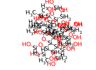 CO[Si]([SiH3])(O[Si]([Si](O[SiH2]O)([SiH2]O)[SiH2]O)([Si](O[SiH2]O)([SiH2]O)[SiH](C)O)[Si](O[Si](C)(C)O[Si](C)(C)C)(O[Si](O[SiH2]O)([SiH2]O)[Si](C)(C)O)[Si](O[Si](O[SiH2]O)([SiH2]O)[SiH2]O)([Si](O[SiH2]O)([SiH2]O)[SiH2]O)[Si](O[SiH2]O)([SiH2]O)[SiH2]O)[SiH2]O